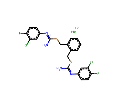 Br.Br.NC(=Nc1ccc(F)c(Cl)c1)SCc1ccccc1CS/C(N)=N/c1ccc(F)c(Cl)c1